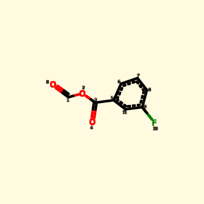 O=COC(=O)c1cccc(F)c1